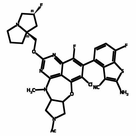 CC(=O)N1CC2Oc3c(Cl)c(-c4ccc(F)c5sc(N)c(C#N)c45)c(F)c4nc(OC[C@@]56CCCN5C[C@H](F)C6)nc(c34)N(C)C2C1